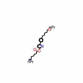 CCC/C=C/CCCCC(=O)Oc1ccc(-c2ccc(CCCCCOCCC)cc2)nc1